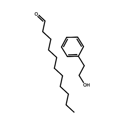 CCCCCCCCCCC=O.OCCc1ccccc1